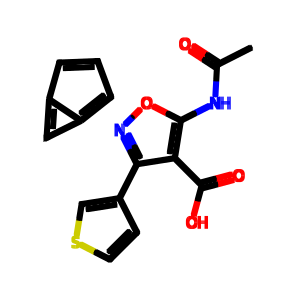 CC(=O)Nc1onc(-c2ccsc2)c1C(=O)O.c1cc2cc-2c1